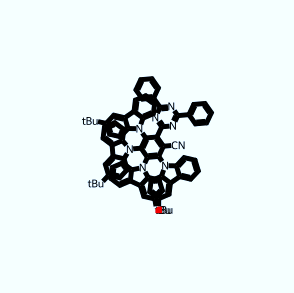 CC(C)(C)c1ccc2c(c1)c1ccccc1n2-c1c(C#N)c(-c2nc(-c3ccccc3)nc(-c3ccccc3)n2)c(-n2c3ccccc3c3cc(C(C)(C)C)ccc32)c(-n2c3ccccc3c3cc(C(C)(C)C)ccc32)c1-n1c2ccccc2c2cc(C(C)(C)C)ccc21